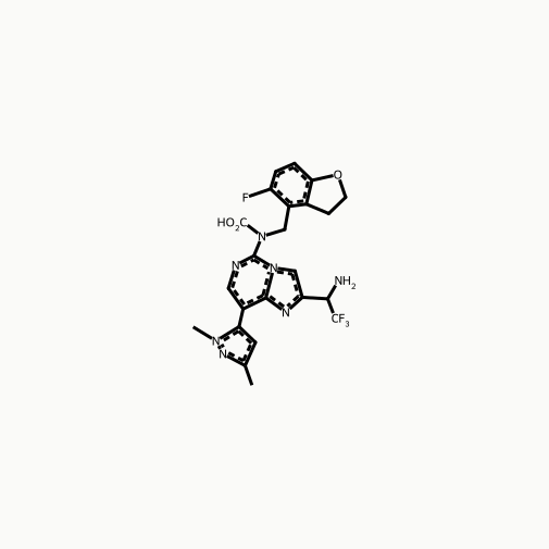 Cc1cc(-c2cnc(N(Cc3c(F)ccc4c3CCO4)C(=O)O)n3cc(C(N)C(F)(F)F)nc23)n(C)n1